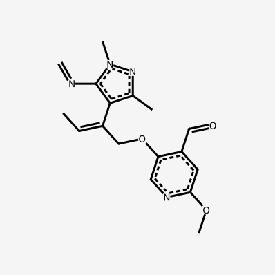 C=Nc1c(/C(=C\C)COc2cnc(OC)cc2C=O)c(C)nn1C